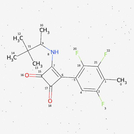 Cc1c(F)cc(-c2c(NC(C)C(C)(C)C)c(=O)c2=O)c(F)c1F